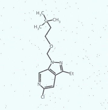 CCc1nn(COCC[Si](C)(C)C)c2cnc(Cl)cc12